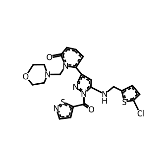 O=C(c1ccns1)n1nc(-c2cccc(=O)n2CN2CCOCC2)cc1NCc1ccc(Cl)s1